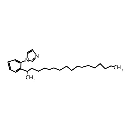 CCCCCCCCCCCCCCCC[C@H](C)c1ccccc1-n1ccnc1